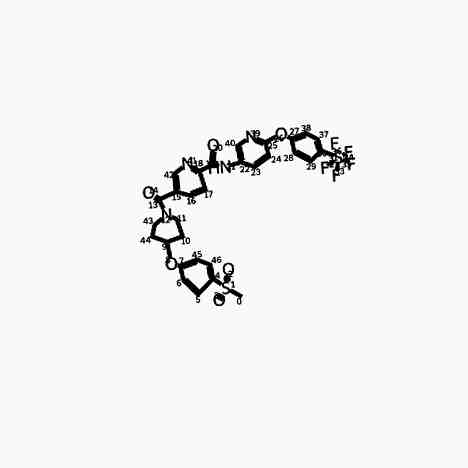 CS(=O)(=O)c1ccc(OC2CCN(C(=O)c3ccc(C(=O)Nc4ccc(Oc5ccc(S(F)(F)(F)(F)F)cc5)nc4)nc3)CC2)cc1